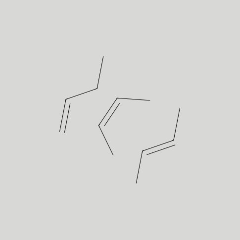 C/C=C/C.C/C=C\C.C=CCC